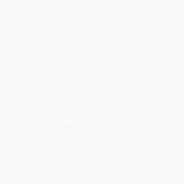 COC(=O)C(=O)CCCCCOc1ccccc1